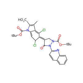 Cc1c(C(=O)O)n(C(=O)OC(C)(C)C)c2c1=C(Cl)C(=C1CN(C(=O)OC(C)(C)C)N(c3ccc4ccccc4n3)C1=O)C(Cl)C=2